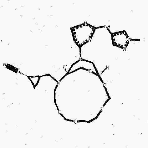 Cn1cc(Nc2nccc(N3C[C@H]4CCCCCCCCCCN(C[C@H]5C[C@@H]5C#N)[C@H](CC4)C3)n2)cn1